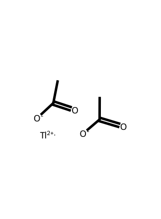 CC(=O)[O-].CC(=O)[O-].[Tl+2]